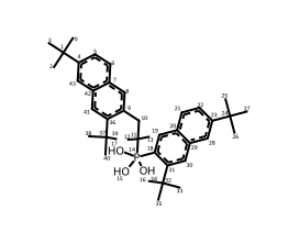 CC(C)(C)c1ccc2cc(CC(C)(C)P(O)(O)(O)c3cc4ccc(C(C)(C)C)cc4cc3C(C)(C)C)c(C(C)(C)C)cc2c1